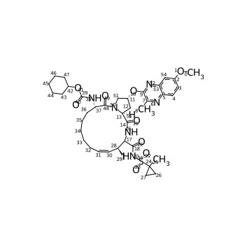 COc1ccc2nc(C)c(O[C@@H]3C[C@H]4C(=O)NC(C(=O)NS(=O)(=O)C5(C)CC5)[C@@H](I)/C=C\CCCCC[C@H](NC(=O)OC5CCCCC5)C(=O)N4C3)nc2c1